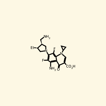 CC[C@@H]1CN(c2c(F)c(N)c3c(=O)c(C(=O)O)cn(C4CC4)c3c2F)C[C@@H]1CN